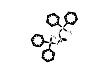 C[Si](O[PH](=O)O[Si](C)(c1ccccc1)c1ccccc1)(c1ccccc1)c1ccccc1